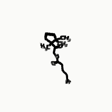 CC(C)CCCC(=O)OCC(=O)C1(C)CC=CC1(C)C